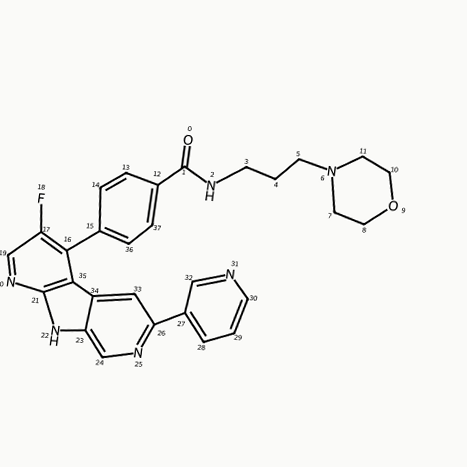 O=C(NCCCN1CCOCC1)c1ccc(-c2c(F)cnc3[nH]c4cnc(-c5cccnc5)cc4c23)cc1